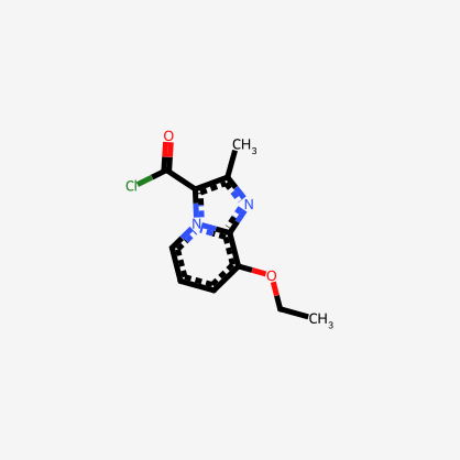 CCOc1cccn2c(C(=O)Cl)c(C)nc12